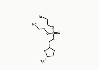 C[C@H]1CC[C@@H](CSP(=O)(OCCC#N)OCCC#N)O1